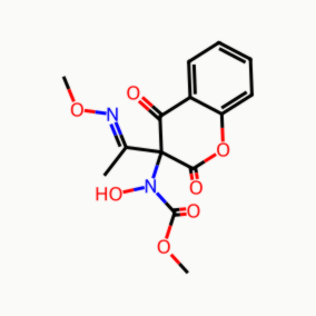 CO/N=C(\C)C1(N(O)C(=O)OC)C(=O)Oc2ccccc2C1=O